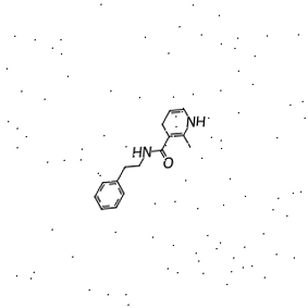 CC1=C(C(=O)NCCc2ccccc2)CC=CN1